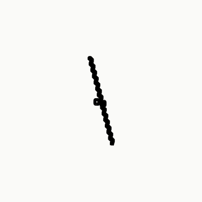 CCCCCCCCCCCCCCC(=O)OCCCCCCCCCCCCC